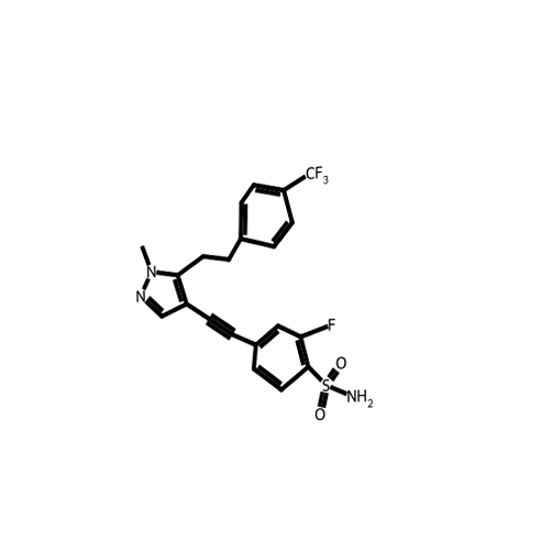 Cn1ncc(C#Cc2ccc(S(N)(=O)=O)c(F)c2)c1CCc1ccc(C(F)(F)F)cc1